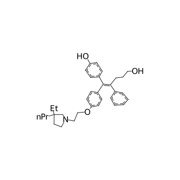 CCCC1(CC)CCN(CCOc2ccc(/C(=C(/CCCO)c3ccccc3)c3ccc(O)cc3)cc2)C1